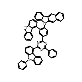 c1ccc(-c2nc(-c3ccc(-n4c5ccccc5c5cc6ccccc6cc54)c(-c4cccc5oc6ccccc6c45)c3)nc(-c3cccc4c3c3ccccc3n4-c3ccccc3)n2)cc1